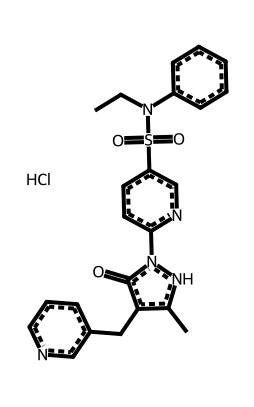 CCN(c1ccccc1)S(=O)(=O)c1ccc(-n2[nH]c(C)c(Cc3cccnc3)c2=O)nc1.Cl